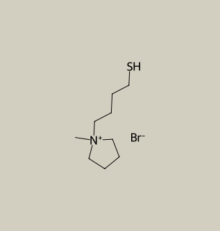 C[N+]1(CCCCS)CCCC1.[Br-]